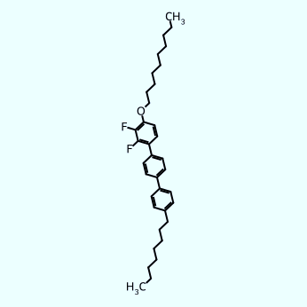 CCCCCCCCCCOc1ccc(-c2ccc(-c3ccc(CCCCCCCC)cc3)cc2)c(F)c1F